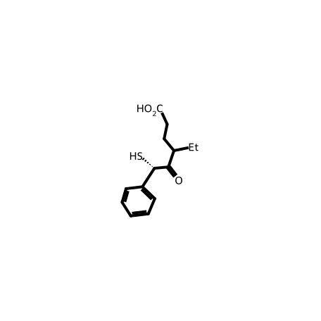 CCC(CCC(=O)O)C(=O)[C@@H](S)c1ccccc1